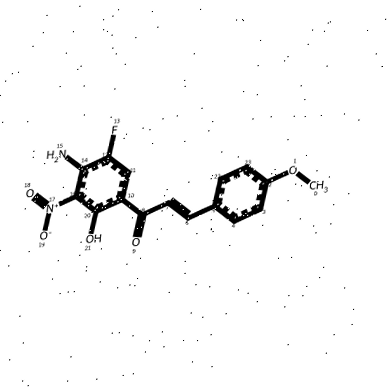 COc1ccc(C=CC(=O)c2cc(F)c(N)c([N+](=O)[O-])c2O)cc1